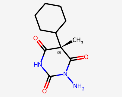 C[C@]1(C2CCCCC2)C(=O)NC(=O)N(N)C1=O